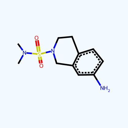 CN(C)S(=O)(=O)N1CCc2ccc(N)cc2C1